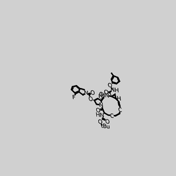 Cc1cccc(ONC(=O)[C@@]23C[C@H]2/C=C\CCCCC[C@H](NC(=O)OC(C)(C)C)C(=O)N2C[C@H](OC(=O)N4Cc5cccc(F)c5C4)C[C@H]2C(=O)N3)c1